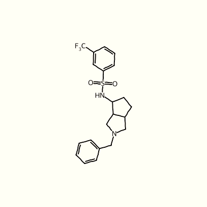 O=S(=O)(NC1CCC2CN(Cc3ccccc3)CC21)c1cccc(C(F)(F)F)c1